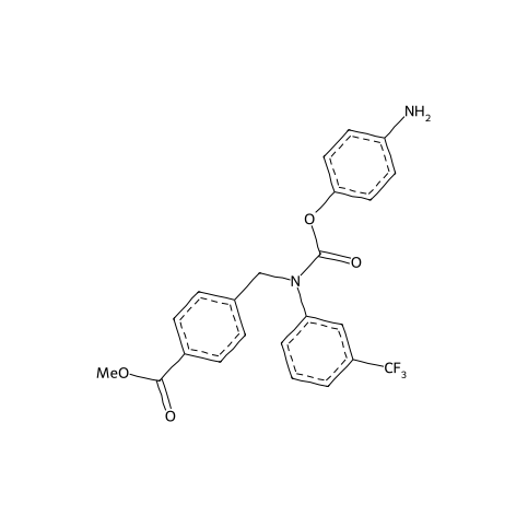 COC(=O)c1ccc(CN(C(=O)Oc2ccc(N)cc2)c2cccc(C(F)(F)F)c2)cc1